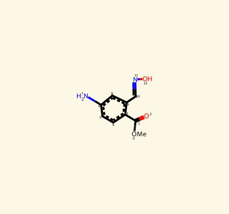 COC(=O)c1ccc(N)cc1C=NO